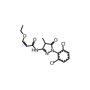 CCO/C=C\C(=O)NC1=NN(c2c(Cl)cccc2Cl)C(=O)C1C